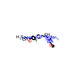 CN(C)CCNC(=O)c1ccc(N2CCN(CCN(C)c3nc(N)n4nc(-c5ccco5)nc4n3)CC2)c(F)c1